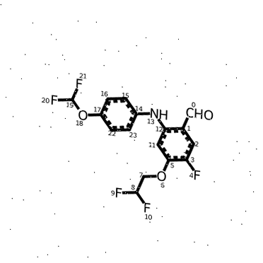 O=Cc1cc(F)c(OCC(F)F)cc1Nc1ccc(OC(F)F)cc1